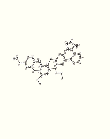 CCCCc1nc(CC)c(Cc2cccc(CO)c2)c(=O)n1Cc1ccc(-c2ccccc2-c2nnn[nH]2)cc1